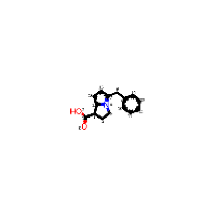 O=C(O)C1CCn2c(Cc3ccccc3)ccc21